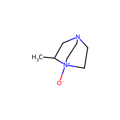 CC1CN2CC[N+]1([O-])CC2